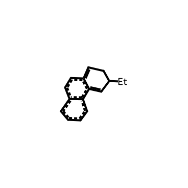 CCC1C=c2c(ccc3ccccc23)=CC1